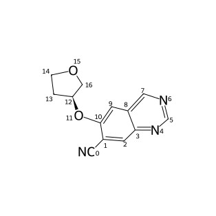 N#Cc1cc2ncncc2cc1O[C@H]1CCOC1